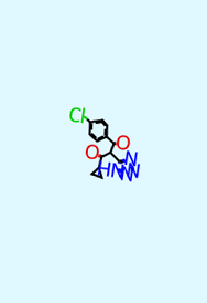 O=C(c1ccc(Cl)cc1)C(C(=O)C1CC1)c1nnn[nH]1